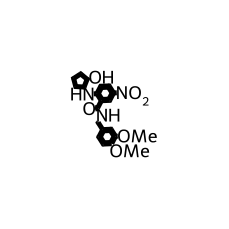 COc1ccc(CNC(=O)c2cc([N+](=O)[O-])ccc2N[C@@H]2CCC[C@H]2O)cc1OC